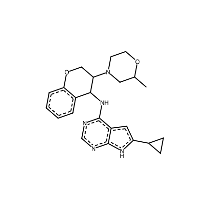 CC1CN(C2COc3ccccc3C2Nc2ncnc3[nH]c(C4CC4)cc23)CCO1